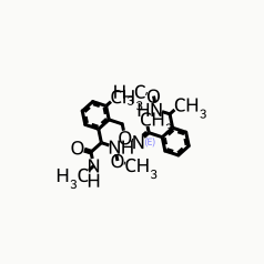 CNC(=O)C(NOC)c1cccc(C)c1CO/N=C(\C)c1ccccc1C(C)NOC